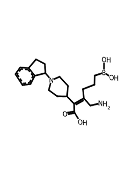 NC/C(CCCB(O)O)=C(\C(=O)O)C1CCN(C2CCc3ccccc32)CC1